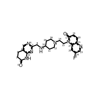 O=C1CCc2cnc(CNC3CCN(CCn4c(=O)ccc5ncc(F)cc54)CC3)nc2N1